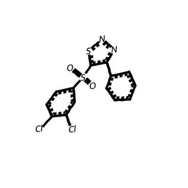 O=S(=O)(c1ccc(Cl)c(Cl)c1)c1snnc1-c1ccccc1